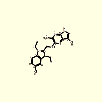 CCn1c(CNc2nc3c(Cl)c[nH]c3nc2N)[n+](CC)c2ccc(Cl)cc21